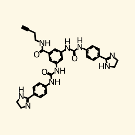 C#CCCNC(=O)c1cc(NC(=O)Nc2ccc(C3=NCCN3)cc2)cc(NC(=O)Nc2ccc(C3=NCCN3)cc2)c1